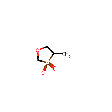 [CH2]C1COCS1(=O)=O